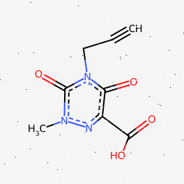 C#CCn1c(=O)c(C(=O)O)nn(C)c1=O